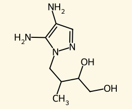 CC(Cn1ncc(N)c1N)C(O)CO